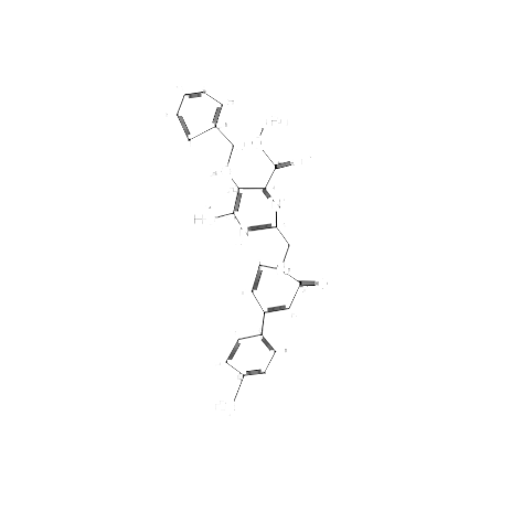 CC(C)(C)OC(=O)c1nc(Cn2ccc(-c3ccc(C(C)(C)C)cc3)cc2=O)nc(O)c1OCc1ccccc1